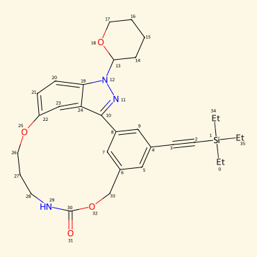 CC[Si](C#Cc1cc2cc(c1)-c1nn(C3CCCCO3)c3ccc(cc13)OCCCNC(=O)OC2)(CC)CC